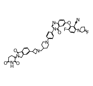 N#Cc1c(N2CC[C@@H](F)C2)ccc(F)c1Oc1ccc2ncn(-c3ccc(N4CCC(CN5CC(c6ccc7c(c6)CN([C@H]6CCC(=O)NC6=O)C7=O)C5)CC4)cc3)c(=O)c2c1